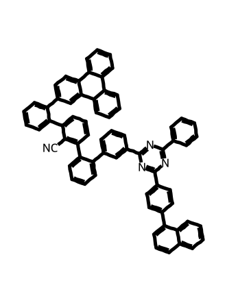 N#Cc1c(-c2ccccc2-c2cccc(-c3nc(-c4ccccc4)nc(-c4ccc(-c5cccc6ccccc56)cc4)n3)c2)cccc1-c1ccccc1-c1ccc2c3ccccc3c3ccccc3c2c1